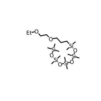 [CH2]COCCOCCC[Si](C)(C)O[Si](C)(C)O[Si](C)(C)O[Si](C)(C)O[Si](C)(C)C